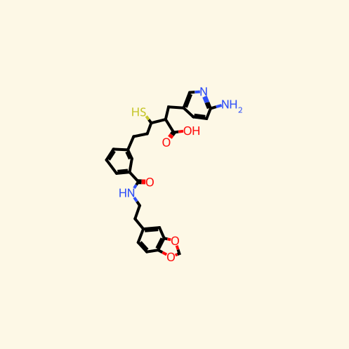 Nc1ccc(CC(C(=O)O)C(S)CCc2cccc(C(=O)NCCc3ccc4c(c3)OCO4)c2)cn1